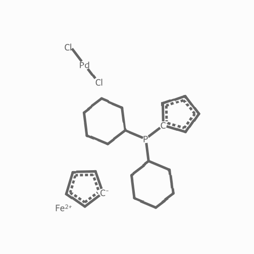 [Cl][Pd][Cl].[Fe+2].c1cc[c-](P(C2CCCCC2)C2CCCCC2)c1.c1cc[cH-]c1